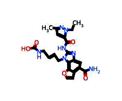 CCn1nc(C)cc1C(=O)Nc1nc2cc(C(N)=O)c3ccoc3c2n1CC=CCNC(=O)O